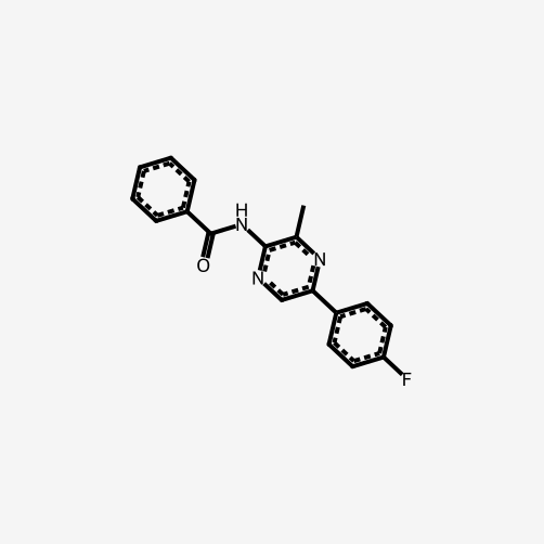 Cc1nc(-c2ccc(F)cc2)cnc1NC(=O)c1ccccc1